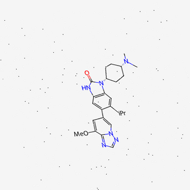 COc1cc(-c2cc3[nH]c(=O)n([C@H]4CC[C@@H](N(C)C)CC4)c3cc2C(C)C)cn2ncnc12